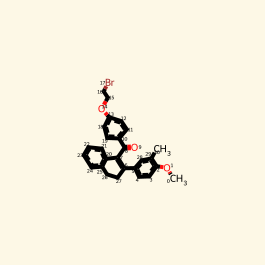 COc1ccc(C2=C(C(=O)c3ccc(OCCBr)cc3)c3ccccc3CC2)cc1C